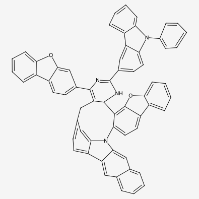 c1ccc(-n2c3ccccc3c3cc(C4=NC(c5ccc6c(c5)oc5ccccc56)=C5Cc6ccc7c8cc9ccccc9cc8n(c7c6)-c6ccc7c(oc8ccccc87)c6C5N4)ccc32)cc1